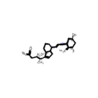 C=C1/C(=C\C=C2/CCC[C@]3(C)C([C@H](C)CCC(=O)C(C)(C)C)=CCC23)C[C@@H](O)C[C@@H]1F